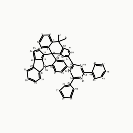 CC1(C)c2ccccc2C2(c3ccccc3-n3c4ccccc4c4cccc2c43)c2cc(-c3nc(-c4ccccc4)nc(-c4ccccc4)n3)ccc21